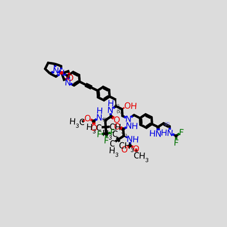 COC(=O)N[C@H](C(=O)NN(Cc1ccc(C(=N)/C=C\NC(F)F)cc1)C[C@H](O)[C@H](Cc1ccc(C#Cc2ccc(N3CC4CCC(C3)N4C3COC3)nc2)cc1)NC(=O)[C@@H](NC(=O)OC)C(C)(C)C(F)(F)F)C(C)(C)C